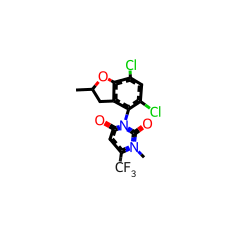 CC1Cc2c(c(Cl)cc(Cl)c2-n2c(=O)cc(C(F)(F)F)n(C)c2=O)O1